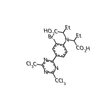 CCC(C(=O)O)N(c1ccc(-c2nc(C(Cl)(Cl)Cl)nc(C(Cl)(Cl)Cl)n2)cc1Br)C(CC)C(=O)O